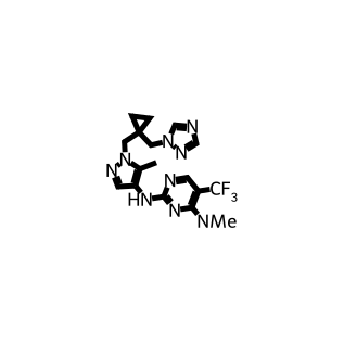 CNc1nc(Nc2cnn(CC3(Cn4cncn4)CC3)c2C)ncc1C(F)(F)F